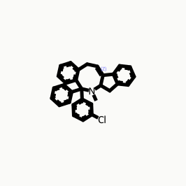 CN1C2Cc3ccccc3/C2=C/Cc2ccccc2C1(c1ccccc1)c1cccc(Cl)c1